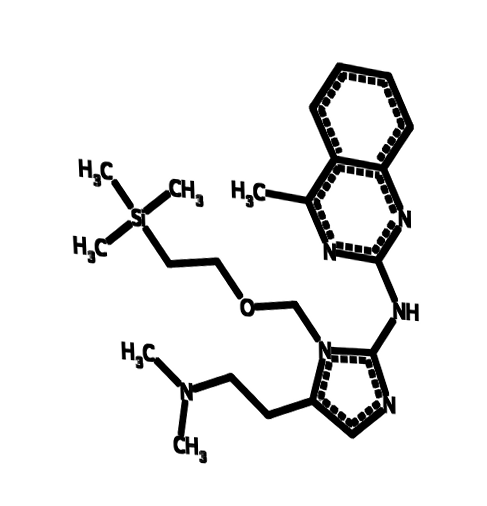 Cc1nc(Nc2ncc(CCN(C)C)n2COCC[Si](C)(C)C)nc2ccccc12